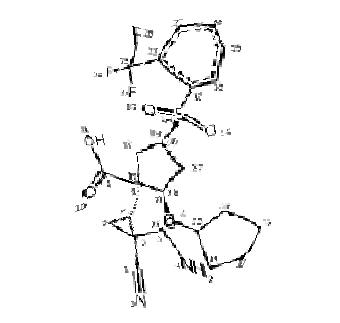 N#CC1(C(N)=O)CC1[C@]1(C(=O)O)C[C@@H](S(=O)(=O)c2ccccc2C(F)(F)F)C[C@H]1OC1CCCC1